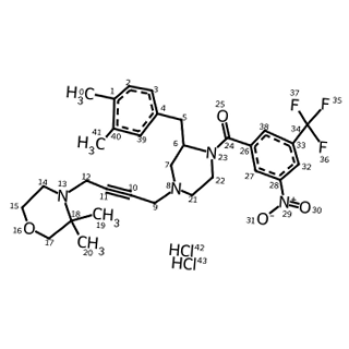 Cc1ccc(CC2CN(CC#CCN3CCOCC3(C)C)CCN2C(=O)c2cc([N+](=O)[O-])cc(C(F)(F)F)c2)cc1C.Cl.Cl